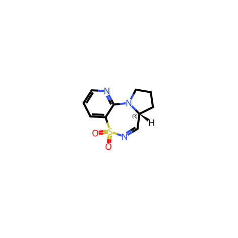 O=S1(=O)N=C[C@H]2CCCN2c2ncccc21